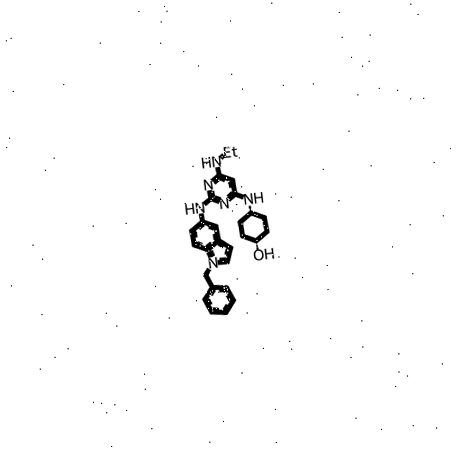 CCNc1cc(N[C@H]2CC[C@@H](O)CC2)nc(Nc2ccc3c(ccn3Cc3ccccc3)c2)n1